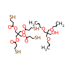 C=CCOCC(CO)(COCC=C)COCC=C.O=C(CCS)OCC(COC(=O)CCS)(COC(=O)CCS)COC(=O)CCS